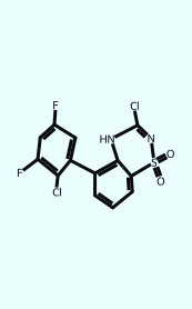 O=S1(=O)N=C(Cl)Nc2c(-c3cc(F)cc(F)c3Cl)cccc21